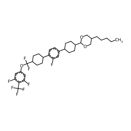 CCCCCC1COC(C2CCC(c3ccc(C4CCC(C(F)(F)Oc5cc(F)c(C(F)(F)F)c(F)c5)CC4)c(F)c3)CC2)OC1